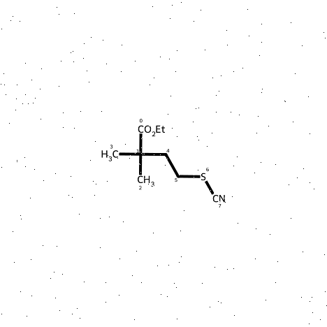 CCOC(=O)C(C)(C)CCSC#N